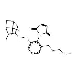 COCCCc1cccc(OOC2CC3CC(C2C)C3(C)C)c1N1C(=O)C=CC1=O